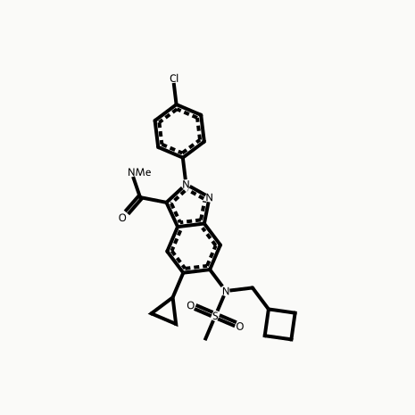 CNC(=O)c1c2cc(C3CC3)c(N(CC3CCC3)S(C)(=O)=O)cc2nn1-c1ccc(Cl)cc1